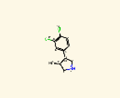 N#C[C@@H]1CNC[C@@H]1c1ccc(Cl)c(Cl)c1